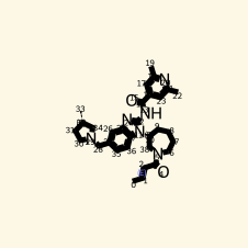 C/C=C/C(=O)N1CCCC[C@@H](n2c(NC(=O)c3cc(C)nc(C)c3)nc3cc(CN4CC[C@H](C)C4)ccc32)C1